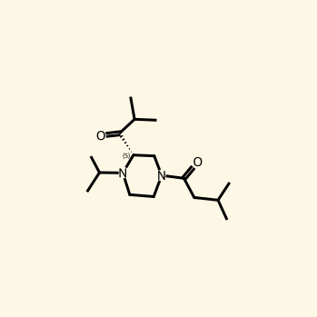 CC(C)CC(=O)N1CCN(C(C)C)[C@H](C(=O)C(C)C)C1